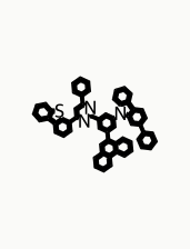 c1ccc(-c2ccc3c4ccccc4n(-c4cc(-c5nc(-c6ccccc6)cc(-c6cccc7c6sc6ccccc67)n5)cc(-c5cc6ccccc6c6ccccc56)c4)c3c2)cc1